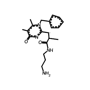 Cc1c(C)n(Cc2ccccc2)c([CH]C(C)C(=O)NCCCN)nc1=O